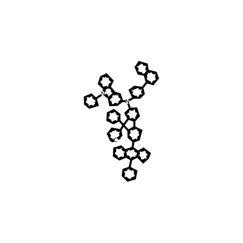 c1ccc(-c2c3ccccc3c(-c3ccc4c(c3)C(c3ccccc3)(c3ccccc3)c3cc(N(c5ccc(-c6cccc7ccccc67)cc5)c5ccc6c(c5)c5ccccc5n6-c5ccccc5)ccc3-4)c3ccccc23)cc1